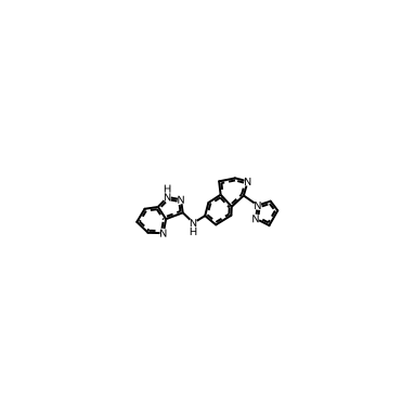 c1cnc2c(Nc3ccc4c(-n5cccn5)nccc4c3)n[nH]c2c1